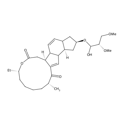 CC[C@H]1CCCC[C@@H](C)C(=O)C2=CC3C(C=CC4C[C@@H](OC(O)[C@H](COC)OC)C[C@H]43)[C@@H]2CC(=O)O1